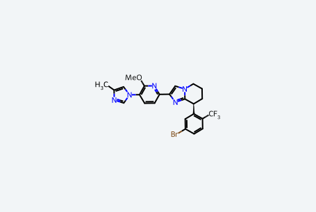 COc1nc(-c2cn3c(n2)[C@H](c2cc(Br)ccc2C(F)(F)F)CCC3)ccc1-n1cnc(C)c1